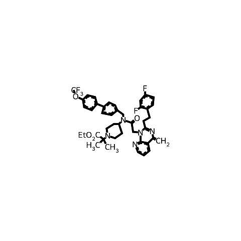 C=C1N=C(CCc2ccc(F)cc2F)N(CC(=O)N(Cc2ccc(-c3ccc(OC(F)(F)F)cc3)cc2)C2CCN(C(C)(C)C(=O)OCC)CC2)c2ncccc21